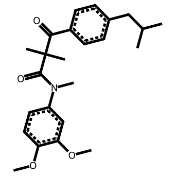 COc1ccc(N(C)C(=O)C(C)(C)C(=O)c2ccc(CC(C)C)cc2)cc1OC